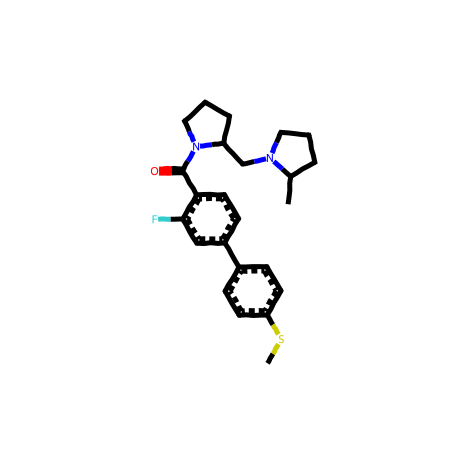 CSc1ccc(-c2ccc(C(=O)N3CCCC3CN3CCCC3C)c(F)c2)cc1